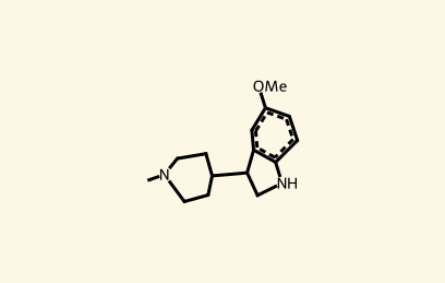 COc1ccc2c(c1)C(C1CCN(C)CC1)CN2